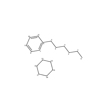 CCCCCCc1cc[c]cc1.[CH]1CCCCC1